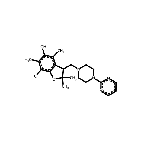 Cc1c(C)c2c(c(C)c1O)C(CN1CCN(c3ncccn3)CC1)C(C)(C)O2